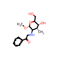 CO[C@@H]1OC(CO)[C@H](O)[C@H](C)C1NCC(=O)c1ccccc1